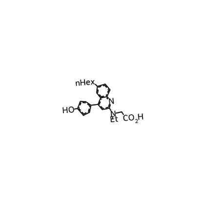 CCCCCCc1ccc2nc(N(CC)CC(=O)O)cc(-c3ccc(O)cc3)c2c1